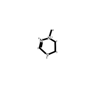 CN1CCSC=N1